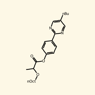 CCCCCCCCOC(C)C(=O)Oc1ccc(-c2ncc(CCCC)cn2)cc1